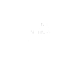 NC1=CN=C(c2ccccc2)c2ccccc2[NH+]1[O-]